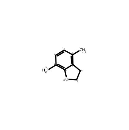 Cc1ccc(P)c2c1CCO2